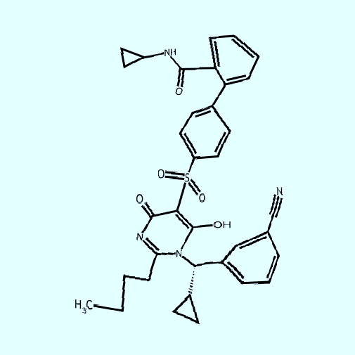 CCCCc1nc(=O)c(S(=O)(=O)c2ccc(-c3ccccc3C(=O)NC3CC3)cc2)c(O)n1[C@H](c1cccc(C#N)c1)C1CC1